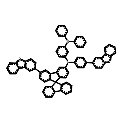 c1ccc(N(c2ccccc2)c2cccc(N(c3ccc(-c4ccc5sc6ccccc6c5c4)cc3)c3ccc4c(c3)-c3cc(-c5ccc6oc7ccccc7c6c5)ccc3C43c4ccccc4-c4ccccc43)c2)cc1